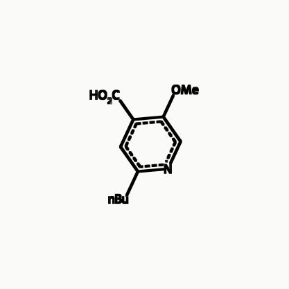 CCCCc1cc(C(=O)O)c(OC)cn1